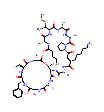 C/C=C1\NC(=O)[C@H](Cc2ccccc2)NC(=O)[C@@H](C(C)C)NC(=O)[C@@H]([C@@H](C)CC)NC(=O)[C@H](NC(=O)[C@H](NC(=O)[C@H](CCCCCN)CC(=O)[C@H]2CCCN2C(=O)[C@H](NC(=O)[C@@H](NC(=O)[C@@H](NC(=O)[C@H](NC(=O)CCCC(C)C)C(C)C)[C@@H](C)SSC(C)C)C(C)C)C(C)C)[C@@H](C)CC)[C@H](C)OC(=O)[C@H](C(C)C)NC1=O